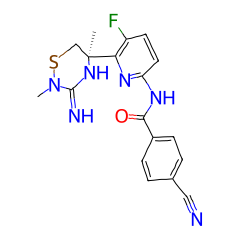 CN1SC[C@@](C)(c2nc(NC(=O)c3ccc(C#N)cc3)ccc2F)NC1=N